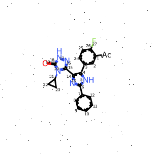 CC(=O)c1cc(-c2[nH]c(-c3ccccc3)nc2-c2n[nH]c(=O)n2C2CC2)ccc1F